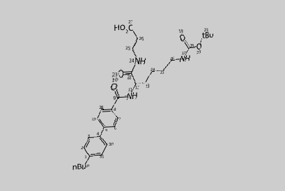 CCCCc1ccc(-c2ccc(C(=O)N[C@@H](CCCCNC(=O)OC(C)(C)C)C(=O)NCCC(=O)O)cc2)cc1